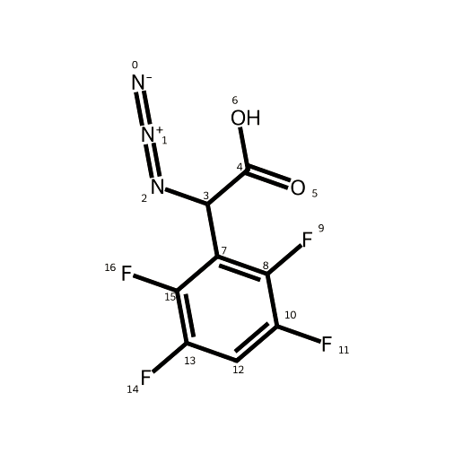 [N-]=[N+]=NC(C(=O)O)c1c(F)c(F)cc(F)c1F